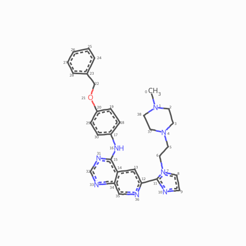 CN1CCN(CCn2ccnc2-c2cc3c(Nc4ccc(OCc5ccccc5)cc4)ncnc3cn2)CC1